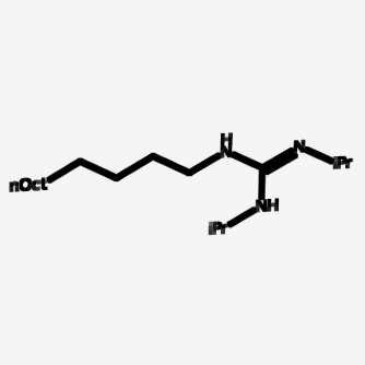 CCCCCCCCCCCCN/C(=N/C(C)C)NC(C)C